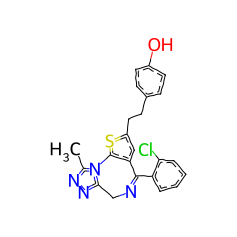 Cc1nnc2n1-c1sc(CCc3ccc(O)cc3)cc1C(c1ccccc1Cl)=NC2